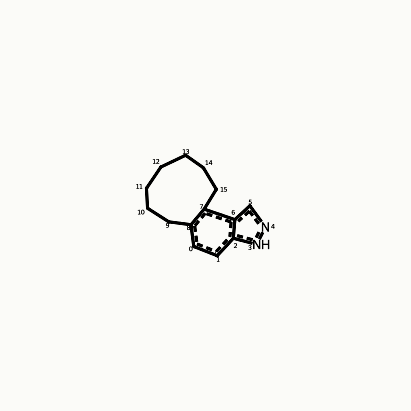 c1cc2[nH]ncc2c2c1CCCCCCC2